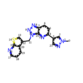 Cn1cc(-c2ccc3nnn(Cc4csc5ncccc45)c3n2)cn1